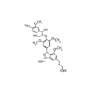 COc1cc(C(O)C(CO)Oc2c(OC)cc(C3O[C@@H](CO)c4cc(CCCO)cc(OC)c43)cc2OC)ccc1O